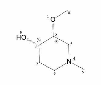 CO[C@@H]1CN(C)CC[C@@H]1O